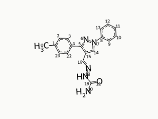 Cc1ccc(-c2nn(-c3ccccc3)cc2/C=N/NC(N)=O)cc1